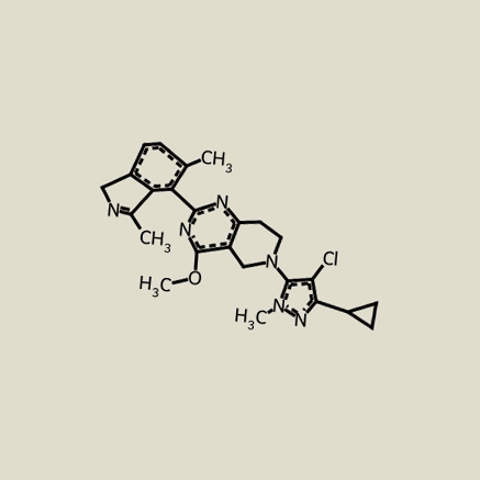 COc1nc(-c2c(C)ccc3c2C(C)=NC3)nc2c1CN(c1c(Cl)c(C3CC3)nn1C)CC2